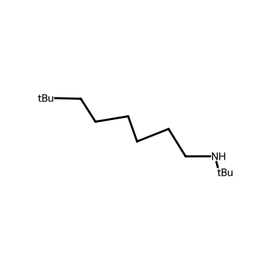 CC(C)(C)CCCCCCNC(C)(C)C